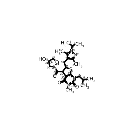 Cc1nn(C(C)C)c(C)c1CC1Sc2c(c(=O)n(C)c(=O)n2CC(C)C)C1C(=O)N1C[C@H](O)CO1